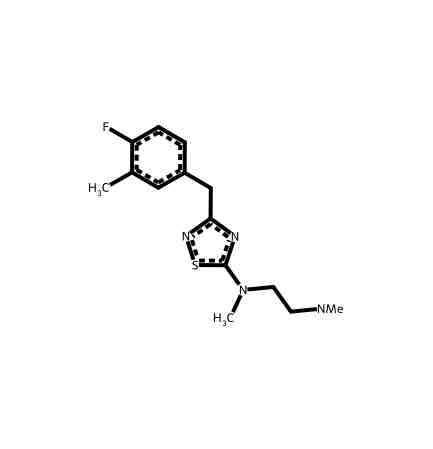 CNCCN(C)c1nc(Cc2ccc(F)c(C)c2)ns1